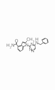 Cc1cc2c(C(N)=O)cccc2n1-c1nncc(NCc2ccccc2)n1